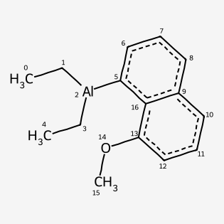 C[CH2][Al]([CH2]C)[c]1cccc2cccc(OC)c12